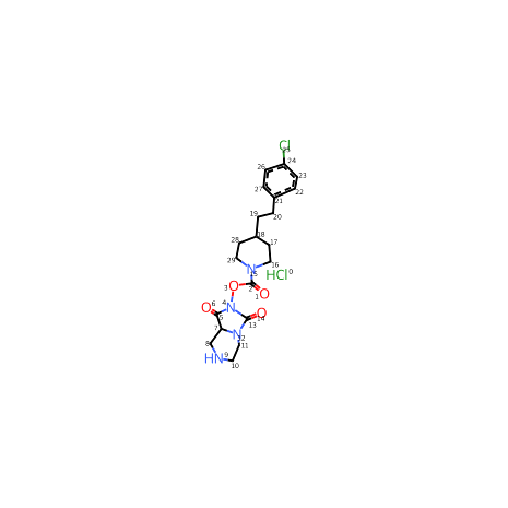 Cl.O=C(ON1C(=O)C2CNCCN2C1=O)N1CCC(CCc2ccc(Cl)cc2)CC1